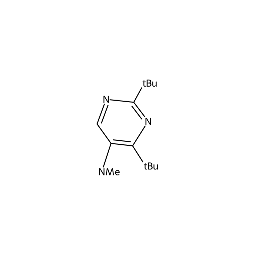 CNc1cnc(C(C)(C)C)nc1C(C)(C)C